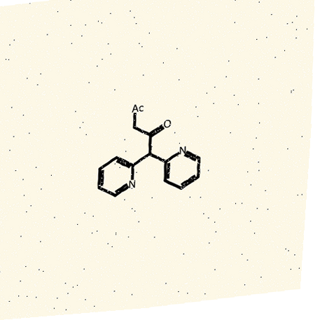 CC(=O)CC(=O)C(c1ccccn1)c1ccccn1